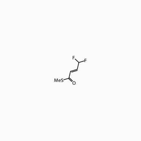 CSC(=O)/C=C/C(F)F